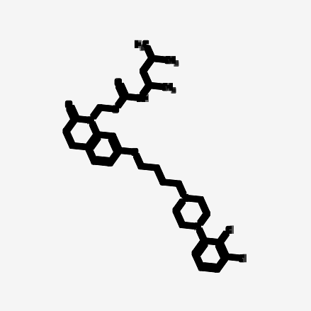 CC(C)CC(C)NC(=O)OCN1C(=O)CCc2ccc(OCCCCN3CCN(c4cccc(Cl)c4Cl)CC3)cc21